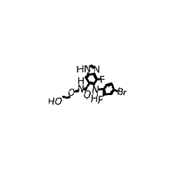 O=C(NCOCCO)c1cc2[nH]cnc2c(F)c1Nc1ccc(Br)cc1F